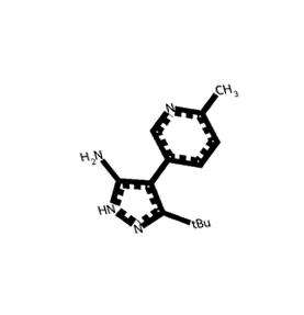 Cc1ccc(-c2c(C(C)(C)C)n[nH]c2N)cn1